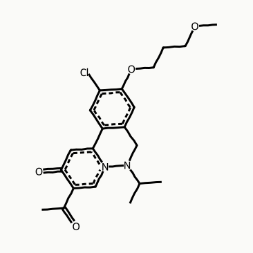 COCCCOc1cc2c(cc1Cl)-c1cc(=O)c(C(C)=O)cn1N(C(C)C)C2